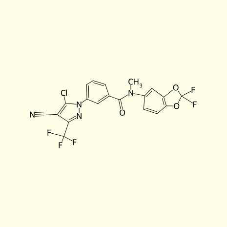 CN(C(=O)c1cccc(-n2nc(C(F)(F)F)c(C#N)c2Cl)c1)c1ccc2c(c1)OC(F)(F)O2